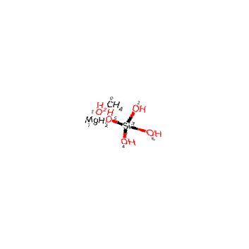 C.O.O[Si](O)(O)O.[MgH2]